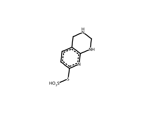 O=S(=O)(O)Sc1ccc2c(n1)NCNC2